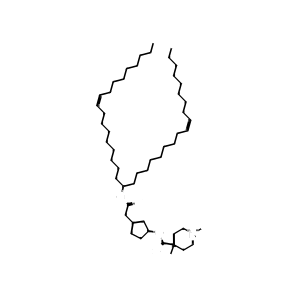 CCCCCCCC/C=C\CCCCCCCCC(CCCCCCCC/C=C\CCCCCCCC)OC(=O)CC1CCC(OC(=O)C2(C)CCN(C)CC2)C1